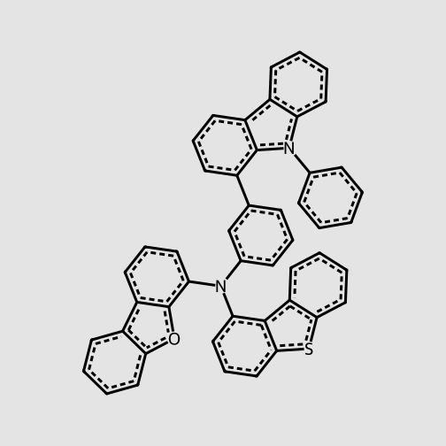 c1ccc(-n2c3ccccc3c3cccc(-c4cccc(N(c5cccc6c5oc5ccccc56)c5cccc6sc7ccccc7c56)c4)c32)cc1